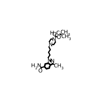 Cc1nn(CCCCCN2CCN(C(=O)OC(C)(C)C)CC2)c2cc(C(N)=O)ccc12